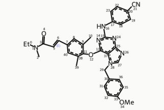 CCN(C)C(=O)/C=C/c1cc(C)c(Oc2nc(Nc3ccc(C#N)cc3)nc3ncn(Cc4ccc(OC)cc4)c23)c(C)c1